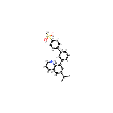 CC(C)c1cc(-c2cccc(-c3ccc(S(C)(=O)=O)cc3)c2)c2ncccc2c1